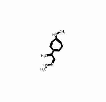 C=C(/C=N\NC)C1=CCC=C(NC)C=C1